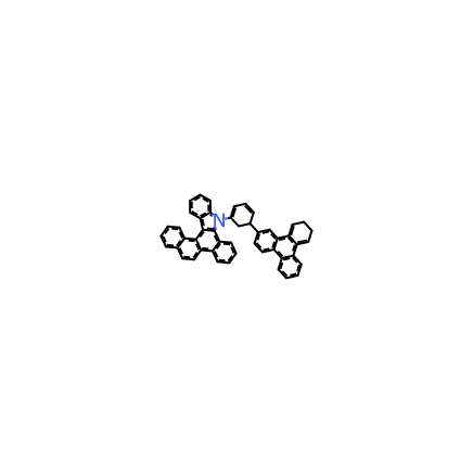 C1=CC(c2ccc3c(c2)c2c(c4ccccc43)=CCCC=2)CC(n2c3ccccc3c3c4c5ccccc5ccc4c4ccccc4c32)=C1